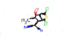 C/C=C1/C(=O)c2c(Cl)sc(Cl)c2C1=C(C#N)C#N